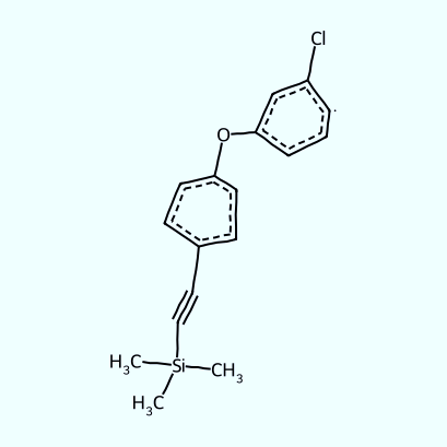 C[Si](C)(C)C#Cc1ccc(Oc2cc[c]c(Cl)c2)cc1